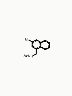 CCc1cc(CNC(C)=O)c2ccccc2c1